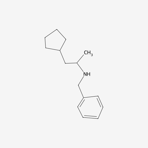 CC(CC1CCCC1)NCc1ccccc1